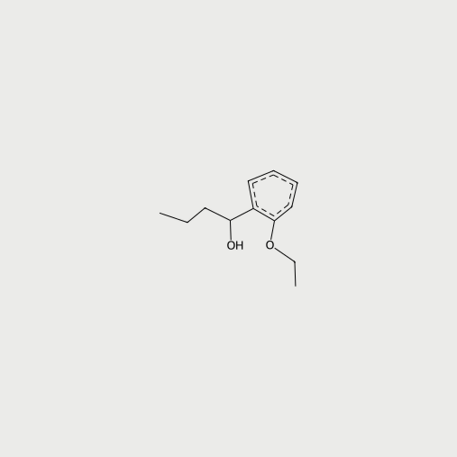 CCCC(O)c1ccccc1OCC